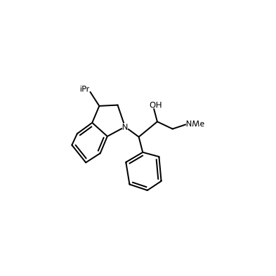 CNCC(O)C(c1ccccc1)N1CC(C(C)C)c2ccccc21